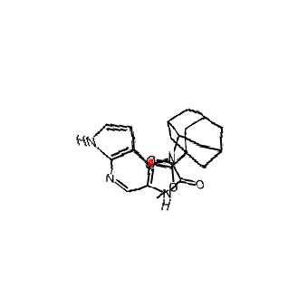 COC(=O)C12CC3CC(C1)C(n1c(=O)[nH]c4cnc5[nH]ccc5c41)C(C3)C2